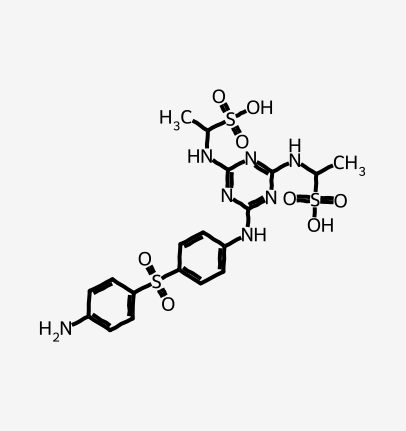 CC(Nc1nc(Nc2ccc(S(=O)(=O)c3ccc(N)cc3)cc2)nc(NC(C)S(=O)(=O)O)n1)S(=O)(=O)O